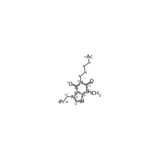 CC(=O)CCCCn1c(=O)c2c(ncn2CC(C)C)n(C)c1=O